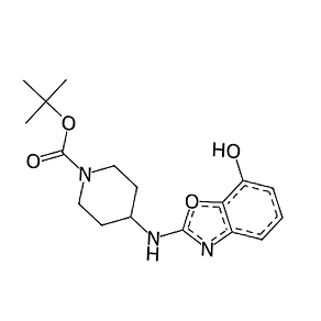 CC(C)(C)OC(=O)N1CCC(Nc2nc3cccc(O)c3o2)CC1